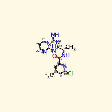 C[C@H](NC(=O)c1cc(C(F)(F)F)cc(Cl)n1)/C(=N/C=N)Nc1ncccn1